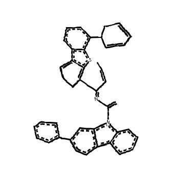 C=C(/N=C(\C=C/C)C1=c2sc3c(C4C=CC=CC4)cccc3c2=CCC1)n1c2ccccc2c2ccc(-c3ccccc3)cc21